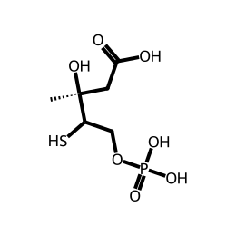 C[C@](O)(CC(=O)O)C(S)COP(=O)(O)O